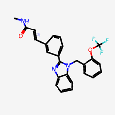 CNC(=O)/C=C/c1cccc(-c2nc3ccccc3n2Cc2ccccc2OC(F)(F)F)c1